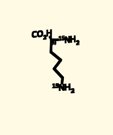 [15NH2]CCCC[C@H]([15NH2])C(=O)O